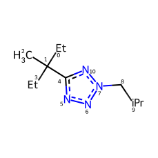 CCC(C)(CC)c1nnn(CC(C)C)n1